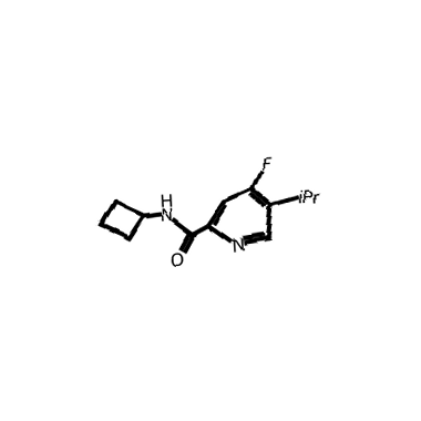 CC(C)c1cnc(C(=O)NC2CCC2)cc1F